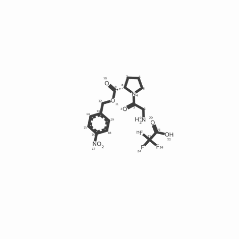 NCC(=O)N1CCC[C@H]1C(=O)OCc1ccc([N+](=O)[O-])cc1.O=C(O)C(F)(F)F